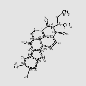 CCC(C)N1C(=O)c2ccc3c(=O)n4c5cc(Cl)c(I)cc5nc4c4ccc(c2c34)C1=O